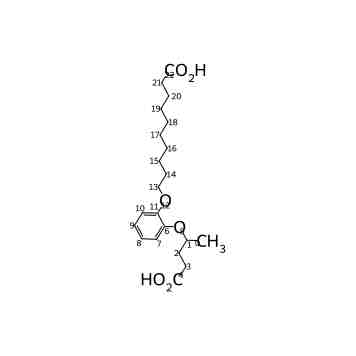 CC(CCC(=O)O)Oc1ccccc1OCCCCCCCCCC(=O)O